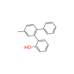 Cc1ccc(-c2ccccc2)c(-c2ccccc2O)c1